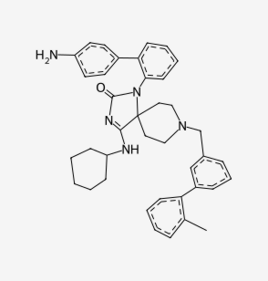 Cc1ccccc1-c1cccc(CN2CCC3(CC2)C(NC2CCCCC2)=NC(=O)N3c2ccccc2-c2ccc(N)cc2)c1